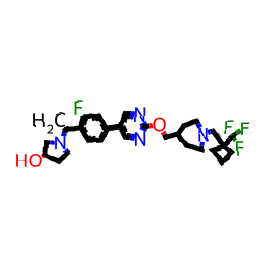 C=C(c1ccc(-c2cnc(OCC3CCN(CC4(C(F)(F)F)CCC4)CC3)nc2)cc1F)N1CCC(O)C1